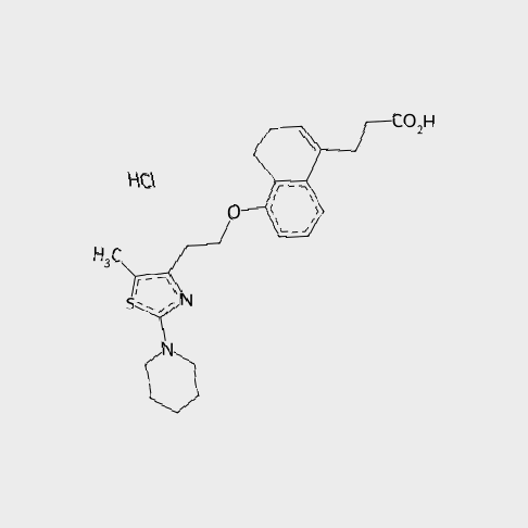 Cc1sc(N2CCCCC2)nc1CCOc1cccc2c1CCC=C2CCC(=O)O.Cl